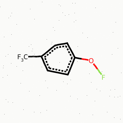 FOc1ccc(C(F)(F)F)cc1